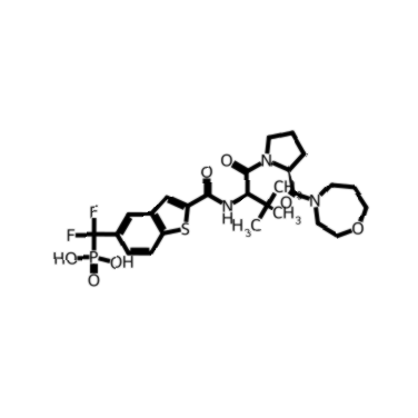 CC(C)(C)C(NC(=O)c1cc2cc(C(F)(F)P(=O)(O)O)ccc2s1)C(=O)N1CCC[C@H]1C(=O)N1CCCOCC1